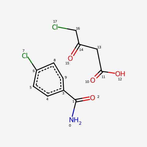 NC(=O)c1ccc(Cl)cc1.O=C(O)CC(=O)CCl